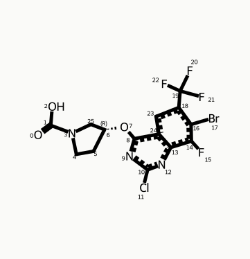 O=C(O)N1CC[C@@H](Oc2nc(Cl)nc3c(F)c(Br)c(C(F)(F)F)cc23)C1